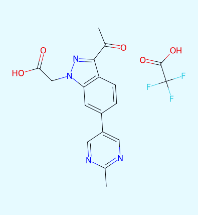 CC(=O)c1nn(CC(=O)O)c2cc(-c3cnc(C)nc3)ccc12.O=C(O)C(F)(F)F